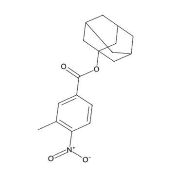 Cc1cc(C(=O)OC23CC4CC(CC(C4)C2)C3)ccc1[N+](=O)[O-]